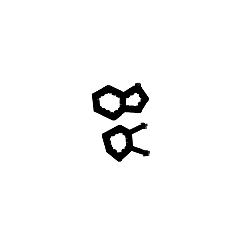 Brc1ccccc1Br.c1ccc2occc2c1